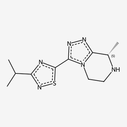 CC(C)c1nsc(-c2nnc3n2CCN[C@H]3C)n1